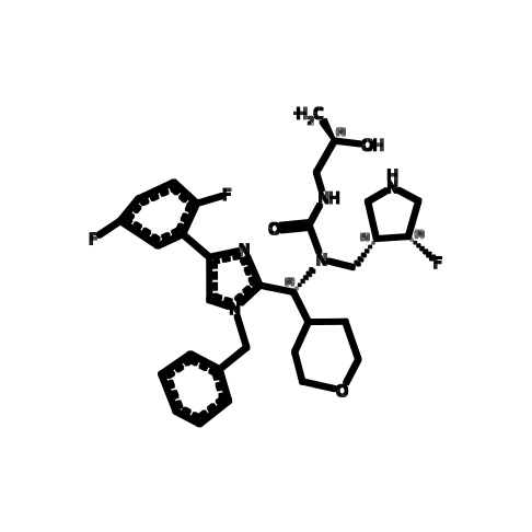 [CH2][C@@H](O)CNC(=O)N(C[C@@H]1CNC[C@@H]1F)[C@@H](c1nc(-c2cc(F)ccc2F)cn1Cc1ccccc1)C1CCOCC1